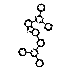 c1ccc(-c2cc(-c3ccccc3)nc(-c3cccc(-c4ccc5c(c4)sc4cccc(-c6nc(-c7ccccc7)nc(-c7ccccc7)n6)c45)c3)n2)cc1